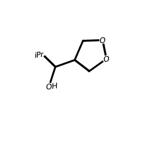 CC(C)C(O)C1COOC1